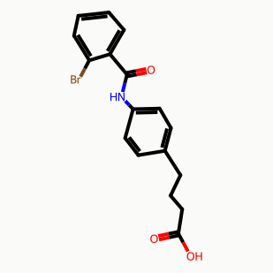 O=C(O)CCCc1ccc(NC(=O)c2ccccc2Br)cc1